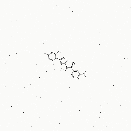 Cc1cc(C)c(-c2csc(N(C)C(=O)c3ccnc(N(C)C)c3)n2)c(C)c1